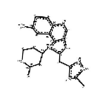 Cc1nc(Cc2nc3cnc4ccc(C(F)(F)F)cc4c3n2C2CCO[C@H](C)C2)no1